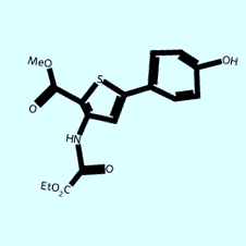 CCOC(=O)C(=O)Nc1cc(-c2ccc(O)cc2)sc1C(=O)OC